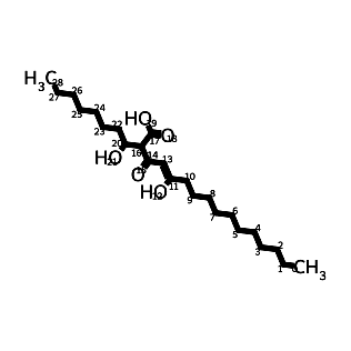 CCCCCCCCCCCC(O)=CC(=O)C(C(=O)O)C(O)CCCCCCC